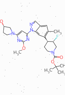 COc1nc(N2CC[C@@H](O)C2)cc(-n2ncc3cc(C)c([C@@H]4CCN(C(=O)OC(C)(C)C)C[C@@H]4F)cc32)n1